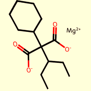 CCC(CC)C(C(=O)[O-])(C(=O)[O-])C1CCCCC1.[Mg+2]